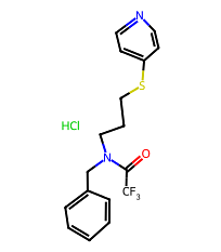 Cl.O=C(N(CCCSc1ccncc1)Cc1ccccc1)C(F)(F)F